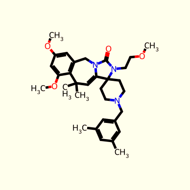 COCCN1C(=O)N2Cc3cc(OC)cc(OC)c3C(C)(C)C=C2C12CCN(Cc1cc(C)cc(C)c1)CC2